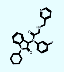 O=C1C(N(C(=O)CNCc2cccnc2)c2cccc(F)c2)c2ccccc2N1C1CCCCC1